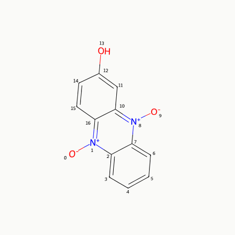 [O-][n+]1c2ccccc2[n+]([O-])c2cc(O)ccc21